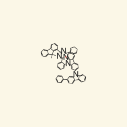 CC1(C)c2ccccc2-c2cccc(-c3nc(C4=CCCC=C4)nc(-c4ccccc4-n4c5ccccc5c5ccc(-n6c7ccccc7c7ccc(-c8ccccc8)cc76)cc54)n3)c21